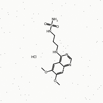 COc1cc2ncnc(NCCCNS(N)(=O)=O)c2cc1OC.Cl